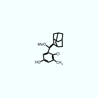 COC(=C1C2CC3CC(C2)CC1C3)c1cc(O)cc(C)c1Cl